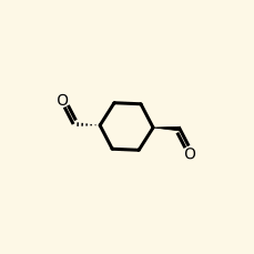 O=C[C@H]1CC[C@H](C=O)CC1